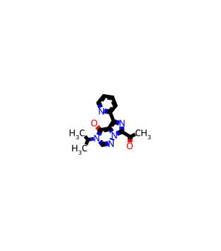 CC(=O)c1nc(-c2ccccn2)c2c(=O)n(C(C)C)cnn12